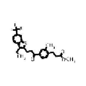 CCc1c(CCC(=O)c2ccc(CCC(=O)OC)c(C)c2)sc2cc(C(F)(F)F)ccc12